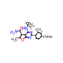 COc1ccc(-c2nc(NC3(C)CC3)c3c(C(N)=O)c(C)oc3n2)c(C)c1